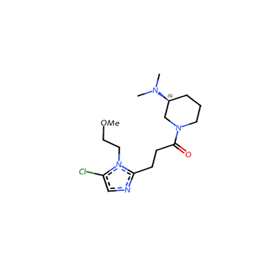 COCCn1c(Cl)cnc1CCC(=O)N1CCC[C@H](N(C)C)C1